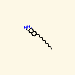 CCCCCCCCCCc1ccc2cc(CN)ccc2c1